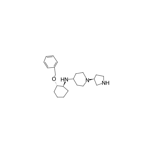 c1ccc(CO[C@H]2CCCC[C@@H]2NC2CCN([C@H]3CCNC3)CC2)cc1